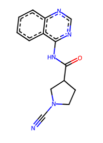 N#CN1CCC(C(=O)Nc2ncnc3ccccc23)C1